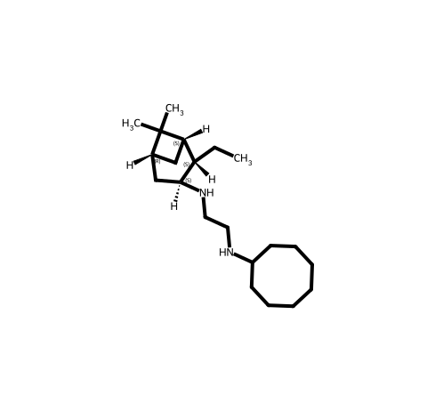 CC[C@@H]1[C@@H](NCCNC2CCCCCCC2)C[C@H]2C[C@@H]1C2(C)C